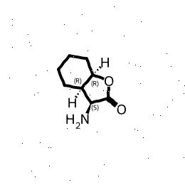 N[C@@H]1C(=O)O[C@@H]2CCCC[C@H]12